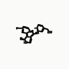 Cc1ccc(CO)cc1Nc1nc2ccc(F)cc2c2c(=O)[nH]ccc12